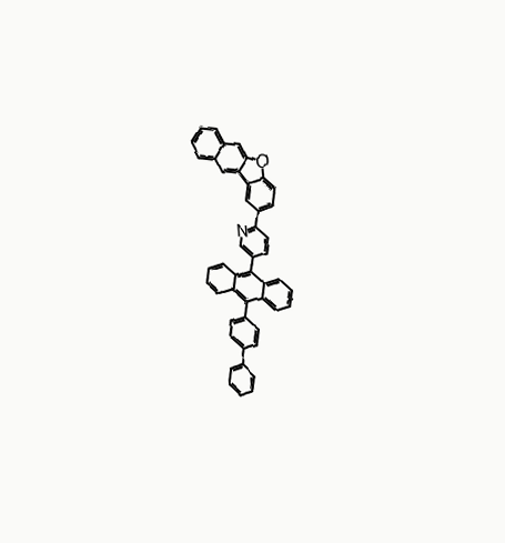 c1ccc(-c2ccc(-c3c4ccccc4c(-c4ccc(-c5ccc6oc7cc8ccccc8cc7c6c5)nc4)c4ccccc34)cc2)cc1